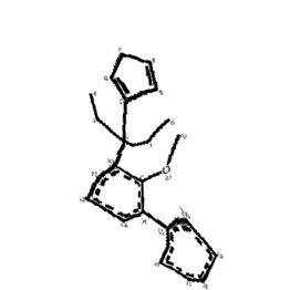 CCC(CC)(C1=CCC=C1)c1cccc(-c2ccccc2)c1OC